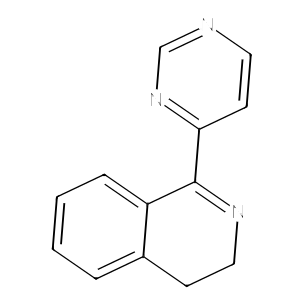 c1ccc2c(c1)CCN=C2c1ccncn1